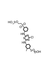 Cc1cc(Nc2nc(Cl)nc(Nc3cccc(S(=O)(=O)CCOS(=O)(=O)O)c3)n2)ccc1SOOO